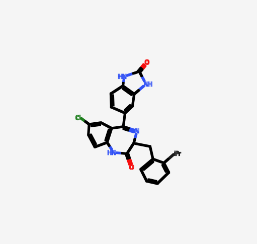 CC(C)c1ccccc1CC1N=C(c2ccc3[nH]c(=O)[nH]c3c2)c2cc(Cl)ccc2NC1=O